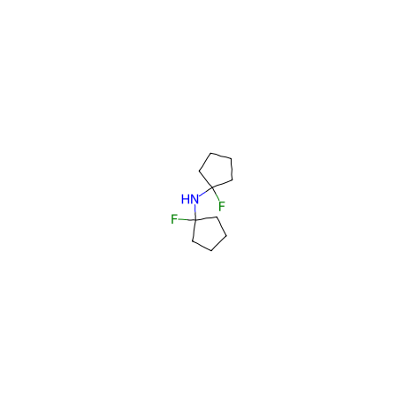 FC1(NC2(F)CCCC2)CCCC1